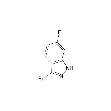 CCC(C)c1n[nH]c2cc(F)ccc12